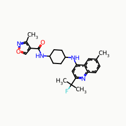 Cc1ccc2nc(C(C)(C)F)cc(NC3CCC(NC(=O)c4conc4C)CC3)c2c1